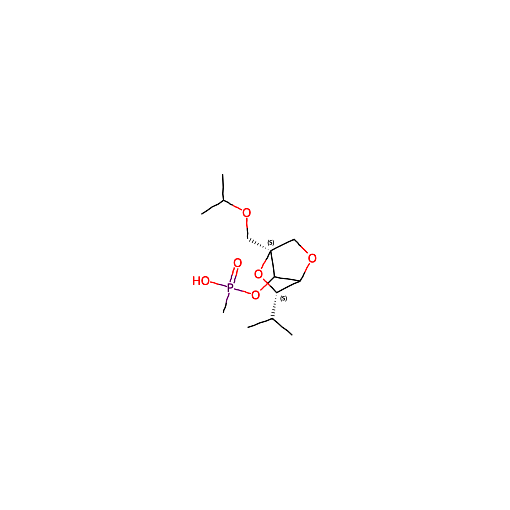 CC(C)OC[C@]12COC(C1OP(C)(=O)O)[C@H](C(C)C)O2